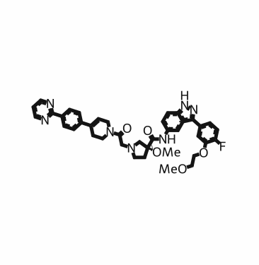 COCCOc1cc(-c2n[nH]c3ccc(NC(=O)[C@]4(OC)CCN(CC(=O)N5CC=C(c6ccc(-c7ncccn7)cc6)CC5)C4)cc23)ccc1F